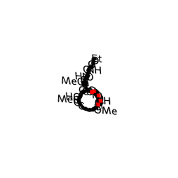 CCOCCOCCNC(=O)CCC(=O)NCO[C@H]1CC[C@H](C[C@H](C)[C@H]2CC(=O)[C@@H](C)/C=C(\C)[C@H](O)[C@H](OC)C(=O)[C@@H](C)C[C@@H](C)/C=C/C=C/C=C(\C)[C@H](OC)C[C@H]3CC[C@H](C)[C@](O)(O3)C(=O)C(=O)N3CCCC[C@@H]3C(=O)O2)C[C@@H]1OC